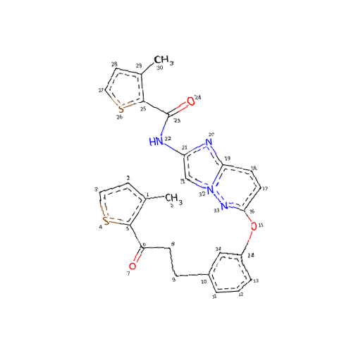 Cc1ccsc1C(=O)CCc1cccc(Oc2ccc3nc(NC(=O)c4sccc4C)cn3n2)c1